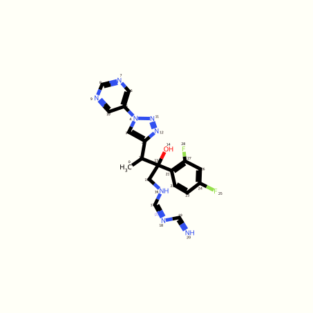 CC(c1cn(-c2cncnc2)nn1)C(O)(CN/C=N\C=N)c1ccc(F)cc1F